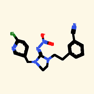 N#Cc1cccc(CCN2CCN(Cc3ccc(Cl)nc3)C2=N[N+](=O)[O-])c1